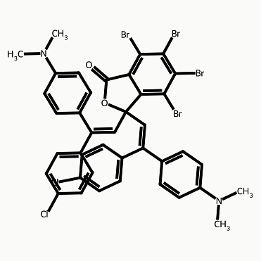 CN(C)c1ccc(C(=CC2(C=C(c3ccc(Cl)cc3)c3ccc(N(C)C)cc3)OC(=O)c3c(Br)c(Br)c(Br)c(Br)c32)c2ccc(Cl)cc2)cc1